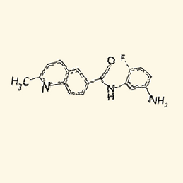 Cc1ccc2cc(C(=O)Nc3cc(N)ccc3F)ccc2n1